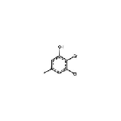 Cc1cc(O)c(Br)c(Cl)c1